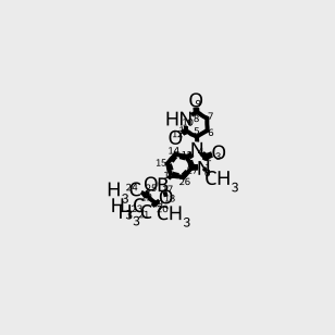 Cn1c(=O)n(C2CCC(=O)NC2=O)c2ccc(B3OC(C)(C)C(C)(C)O3)cc21